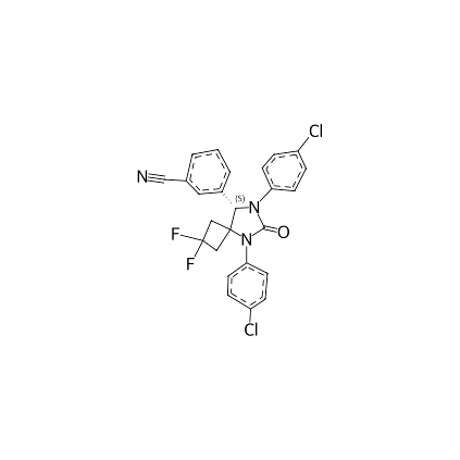 N#Cc1cccc([C@@H]2N(c3ccc(Cl)cc3)C(=O)N(c3ccc(Cl)cc3)C23CC(F)(F)C3)c1